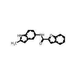 Cc1cc2cc(NC(=O)c3cc4ccccc4o3)ccc2[nH]1